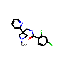 C[C@H](NC(=O)c1ccc(Cl)cc1Cl)C1(c2ccccn2)CN(C(=O)O)C1